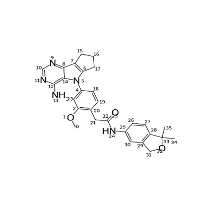 COc1cc(-n2c3c(c4ncnc(N)c42)CCC3)ccc1CC(=O)Nc1ccc2c(c1)COC2(C)C